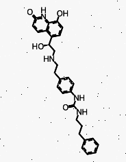 O=C(NCCCc1ccccc1)Nc1ccc(CCNC[C@@H](O)c2ccc(O)c3[nH]c(=O)ccc23)cc1